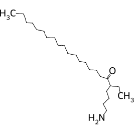 CCCCCCCCCCCCCCCCCC(=O)C(CC)CCCCN